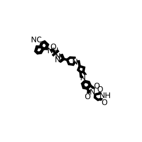 CC(C)(C(=O)Nc1ccc(C#N)c2ccccc12)n1cc(C2CCN(CC3CC4CN(c5ccc6c(c5)C(=O)N(C5CCC(=O)NC5=O)C6=O)CC4C3)CC2)cn1